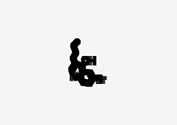 CCCCc1cnc2ccc(Br)cc2c1O